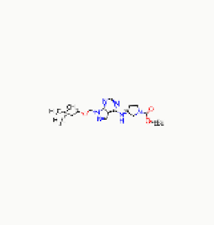 CC(C)(C)OC(=O)N1CC[C@H](Nc2ncnc3c2cnn3COCC[Si](C)(C)C)C1